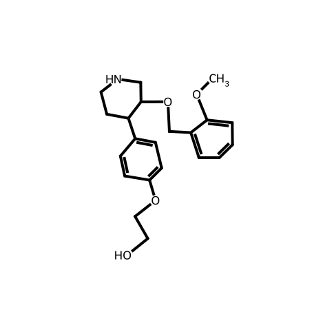 COc1ccccc1COC1CNCCC1c1ccc(OCCO)cc1